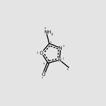 Cn1nc(N)oc1=O